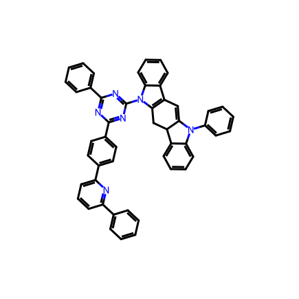 C1=C2C(Cc3c1c1ccccc1n3-c1nc(-c3ccccc3)nc(-c3ccc(-c4cccc(-c5ccccc5)n4)cc3)n1)c1ccccc1N2c1ccccc1